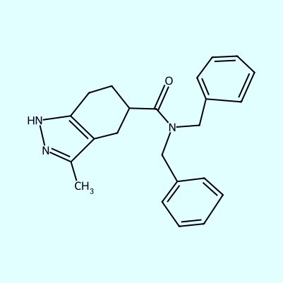 Cc1n[nH]c2c1CC(C(=O)N(Cc1ccccc1)Cc1ccccc1)CC2